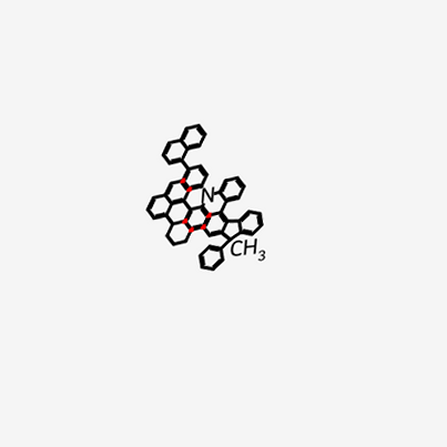 CC1(c2ccccc2)c2ccccc2-c2c(-c3ccccc3N(c3ccc(-c4cccc5ccccc45)cc3)c3ccccc3-c3cccc4cccc(C5CCCCC5)c34)cccc21